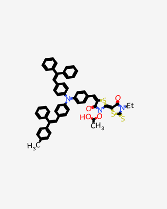 CCN1C(=O)/C(=c2\s/c(=C/c3ccc(N(c4ccc(C=C(c5ccccc5)c5ccccc5)cc4)c4ccc(/C=C(\c5ccccc5)c5ccc(C)cc5)cc4)cc3)c(=O)n2OC(C)O)SC1=S